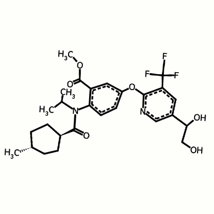 COC(=O)c1cc(Oc2ncc(C(O)CO)cc2C(F)(F)F)ccc1N(C(=O)[C@H]1CC[C@H](C)CC1)C(C)C